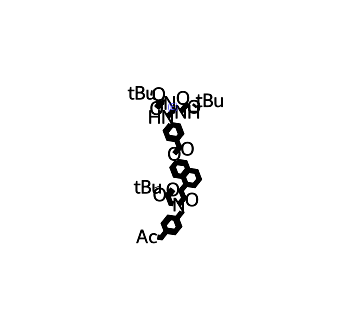 CC(=O)Cc1ccc(CN(CC(=O)OC(C)(C)C)C(=O)CC2CCCc3cc(OC(=O)c4ccc(N/C(=N\C(=O)OC(C)(C)C)NC(=O)OC(C)(C)C)cc4)ccc32)cc1